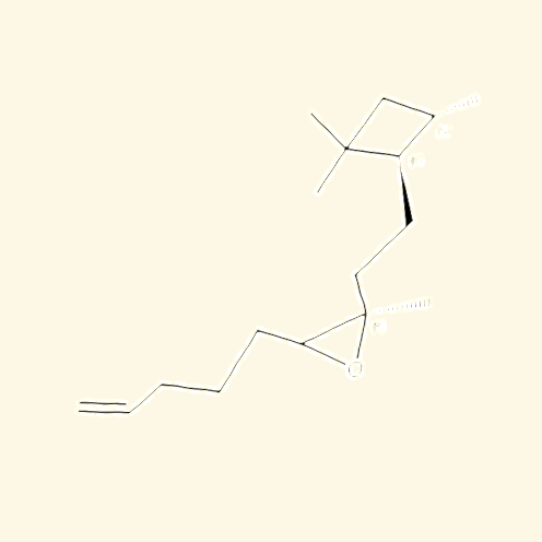 C=CCCCC1O[C@]1(C)CC[C@@H]1[C@@H](C)CC1(C)C